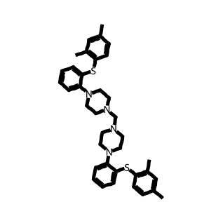 Cc1ccc(Sc2ccccc2N2CCN(CN3CCN(c4ccccc4Sc4ccc(C)cc4C)CC3)CC2)c(C)c1